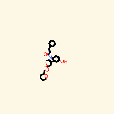 Cc1c(CC(=O)OCC2CCCCO2)c2cc(O)ccc2n1C(=O)/C=C/c1ccccc1